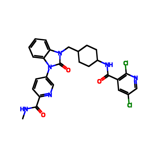 CNC(=O)c1ccc(-n2c(=O)n(CC3CCC(NC(=O)c4cc(Cl)cnc4Cl)CC3)c3ccccc32)cn1